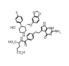 Cl.Fc1ccc([C@@H]2CCNC[C@H]2COc2ccc3c(c2)OCO3)cc1.Nc1nc(=O)c2c(CCc3ccc(C(=O)N[C@@H](CCC(=O)O)C(=O)O)cc3)c[nH]c2[nH]1